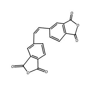 O=C1OC(=O)c2cc(/C=C\c3ccc4c(c3)C(=O)OC4=O)ccc21